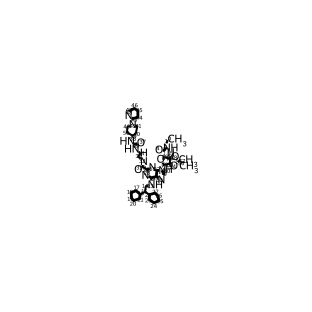 CCNC(=O)[C@H]1O[C@@H](n2cnc3c(NCC(c4ccccc4)c4ccccc4)nc(C(=O)NCCNC(=O)NC4CCN(c5ccccn5)CC4)nc32)[C@H]2OC(C)(C)O[C@@H]21